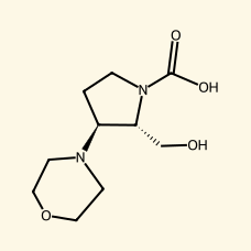 O=C(O)N1CC[C@H](N2CCOCC2)[C@H]1CO